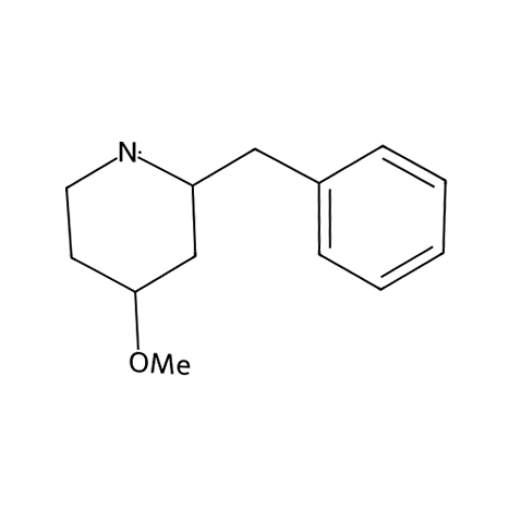 COC1CC[N]C(Cc2ccccc2)C1